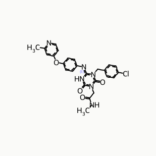 CNC(=O)Cn1c(=O)[nH]/c(=N\c2ccc(Oc3ccnc(C)c3)cc2)n(Cc2ccc(Cl)cc2)c1=O